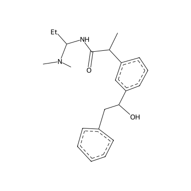 CCC(NC(=O)C(C)c1cccc(C(O)Cc2ccccc2)c1)N(C)C